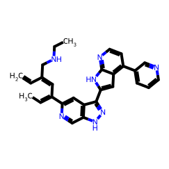 C=C/C(=C\C(=C/C)c1cc2c(-c3cc4c(-c5cccnc5)ccnc4[nH]3)n[nH]c2cn1)CNCC